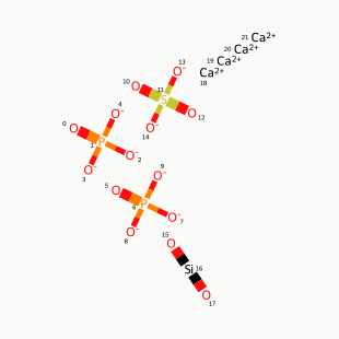 O=P([O-])([O-])[O-].O=P([O-])([O-])[O-].O=S(=O)([O-])[O-].O=[Si]=O.[Ca+2].[Ca+2].[Ca+2].[Ca+2]